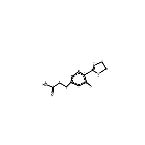 Cc1cc(CCC(=O)O)ccc1C1=NCCS1